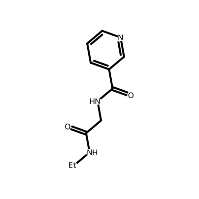 CCNC(=O)CNC(=O)c1cccnc1